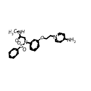 CNC(=O)CN(c1cccc(OCC[n+]2ccc(N)cc2)c1)S(=O)(=O)c1ccccc1